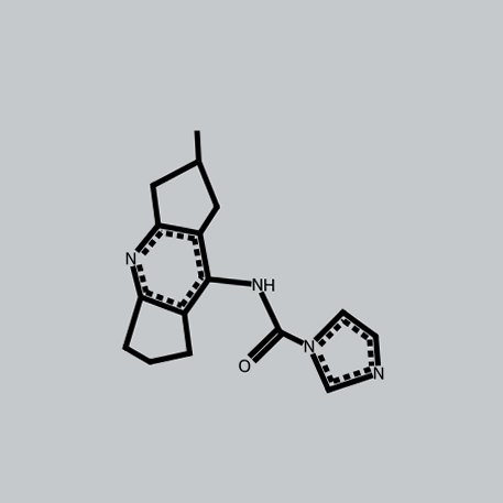 CC1Cc2nc3c(c(NC(=O)n4ccnc4)c2C1)CCC3